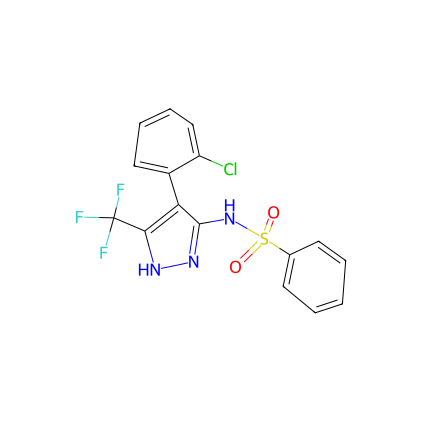 O=S(=O)(Nc1n[nH]c(C(F)(F)F)c1-c1ccccc1Cl)c1ccccc1